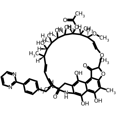 CO[C@H]1/C=C/O[C@@]2(C)Oc3c(C)c(O)c4c(O)c(c(CCNCc5ccc(-c6ncccn6)cc5)c(O)c4c3C2=O)NC(=O)/C(C)=C\C=C\[C@H](C)[C@H](O)[C@@H](C)[C@@H](O)[C@@H](C)[C@H](OC(C)=O)[C@@H]1C